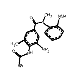 CCCC(=O)Nc1c(C)cc(C(=O)N(C)c2ccccc2NC)cc1N